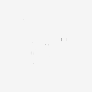 N#Cc1ccc(-c2[nH]c(=O)c3cc(F)ccc3c2OCCN)cc1